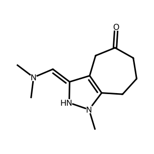 CN(C)C=C1NN(C)C2=C1CC(=O)CCC2